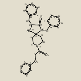 O=C(COc1ccccc1)N1CCC2(CC1)N[C@@H](Cc1ccccc1)C(=O)N2Cc1ccccc1